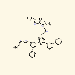 C=C/C=C\C(=C)/C(C)=C/C=C\Cc1nc(-c2cccc(-c3ccccc3)c2)nc(-c2cc(/C=C/C=C\C=N)cc(-c3ccccn3)c2)n1